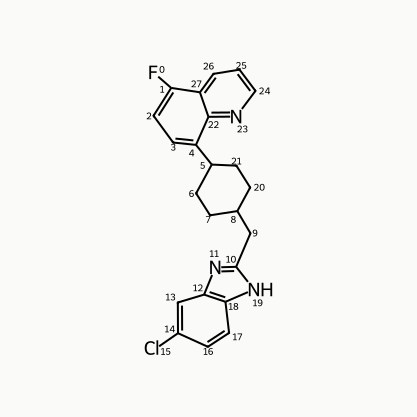 Fc1ccc(C2CCC(Cc3nc4cc(Cl)ccc4[nH]3)CC2)c2ncccc12